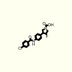 O=C(Nc1ccc(C2CN(C(=O)O)CC2F)cc1)c1ccc(Cl)cc1